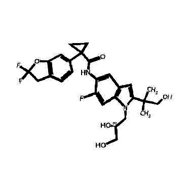 CC(C)(CO)c1cc2cc(NC(=O)C3(c4ccc5c(c4)OC(F)(F)C5)CC3)c(F)cc2n1C[C@@H](O)CO